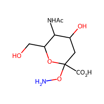 CC(=O)NC1C(O)CC(ON)(C(=O)O)OC1CO